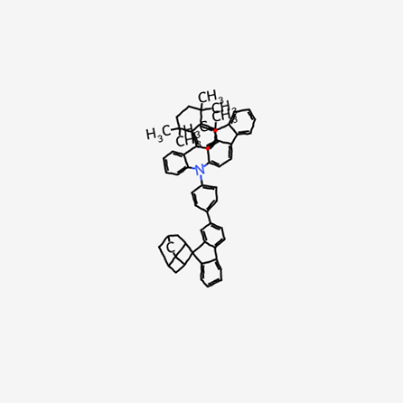 CC1(C)CCC(C)(C)c2c(-c3ccccc3N(c3ccc(-c4ccc5c(c4)C4(c6ccccc6-5)C5CC6CC7CC4C75C6)cc3)c3ccc4c(c3)C(C)(C)c3ccccc3-4)cccc21